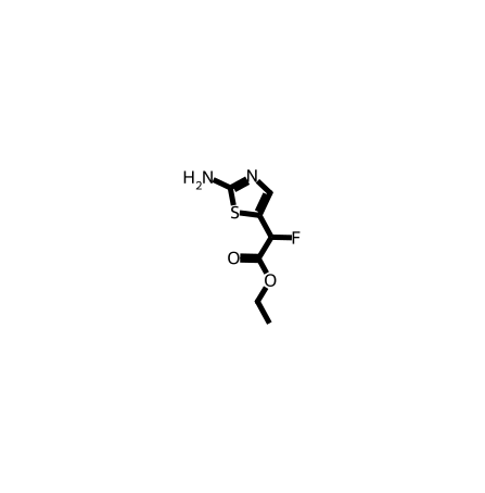 CCOC(=O)C(F)c1cnc(N)s1